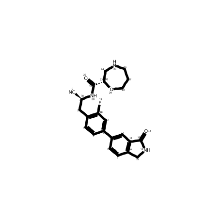 N#C[C@H](Cc1ccc(-c2ccc3c(c2)C(=O)NC3)cc1F)NC(=O)[C@@H]1CNCCCO1